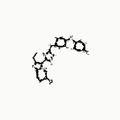 CCc1nc2ccc(Cl)cn2c1-c1nc(Cc2ccc(Oc3ccc(F)cc3)cc2)no1